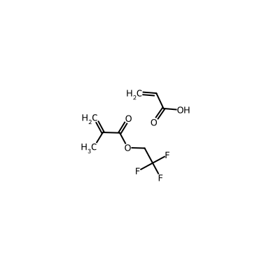 C=C(C)C(=O)OCC(F)(F)F.C=CC(=O)O